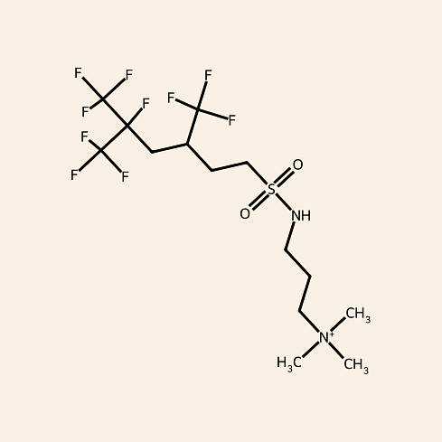 C[N+](C)(C)CCCNS(=O)(=O)CCC(CC(F)(C(F)(F)F)C(F)(F)F)C(F)(F)F